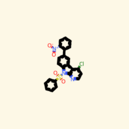 O=[N+]([O-])c1ccccc1-c1ccc2c(c1)c1c(Cl)ccnc1n2S(=O)(=O)c1ccccc1